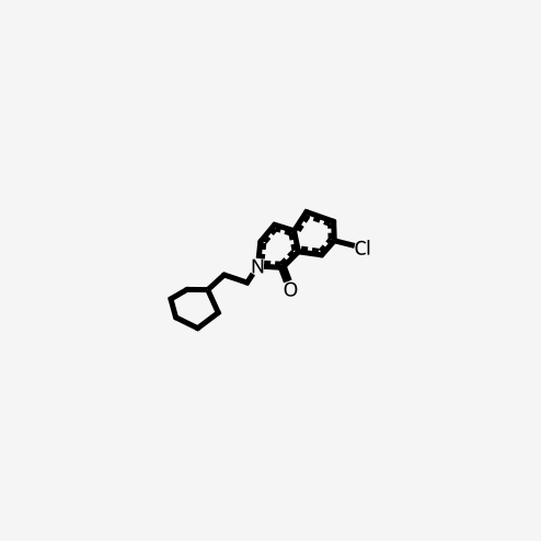 O=c1c2cc(Cl)ccc2ccn1CCC1CCCCC1